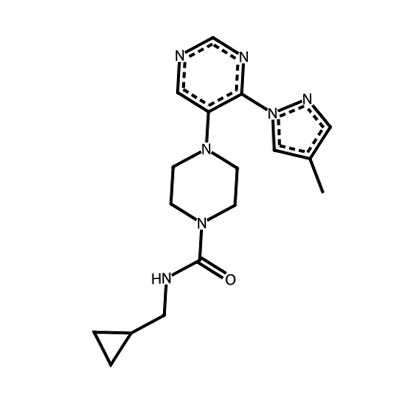 Cc1cnn(-c2ncncc2N2CCN(C(=O)NCC3CC3)CC2)c1